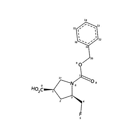 O=C(O)[C@@H]1C[C@H](CF)N(C(=O)OCc2ccccc2)C1